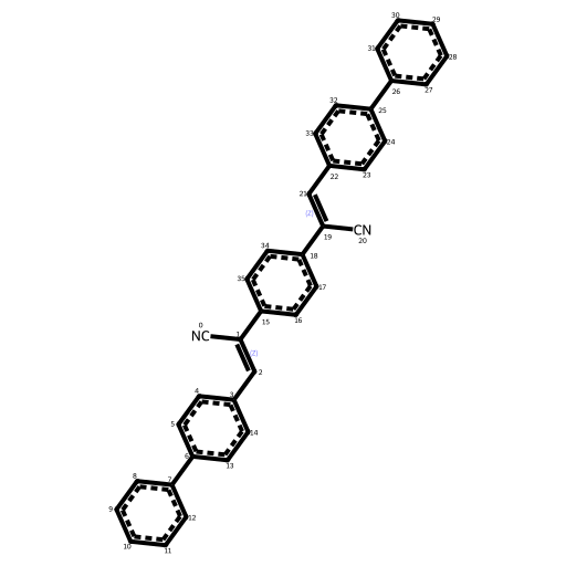 N#C/C(=C\c1ccc(-c2ccccc2)cc1)c1ccc(/C(C#N)=C/c2ccc(-c3ccccc3)cc2)cc1